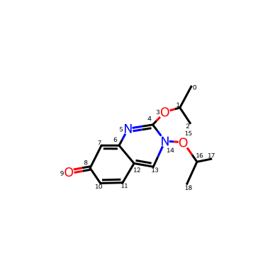 CC(C)Oc1nc2cc(=O)ccc-2cn1OC(C)C